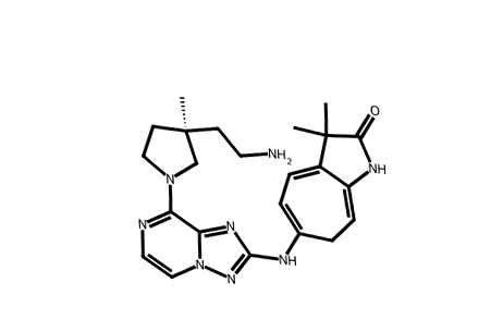 CC1(C)C(=O)NC2=CCC(Nc3nc4c(N5CC[C@@](C)(CCN)C5)nccn4n3)=CC=C21